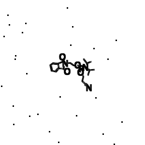 CC(C)N(C(C)C)P(OCCC#N)OCCN1C(=O)c2ccccc2C1=O